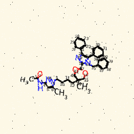 CC(=O)Nc1cc(C)n(CCCC[C@]2(C)CO[C@H](c3nc(-c4ccccc4)c(-c4ccccc4)n3Cc3ccccc3)OC2)n1